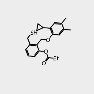 CCC(=O)Oc1cccc(CS)c1COc1cc(C)c(C)cc1C1CC1